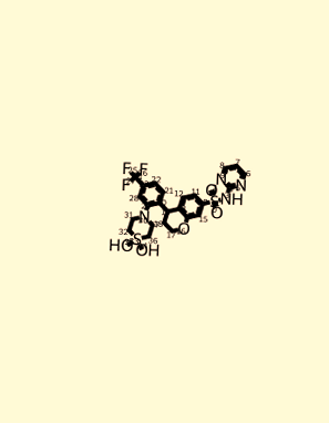 O=S(=O)(Nc1ncccn1)c1ccc2c(c1)OCCC2c1ccc(C(F)(F)F)cc1N1CCS(O)(O)CC1